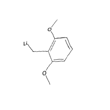 [Li][CH2]c1c(OC)cccc1OC